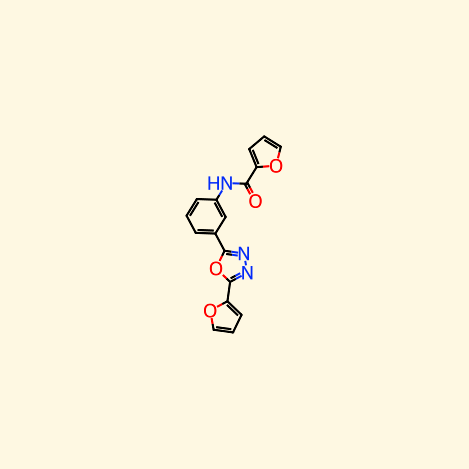 O=C(Nc1cccc(-c2nnc(-c3ccco3)o2)c1)c1ccco1